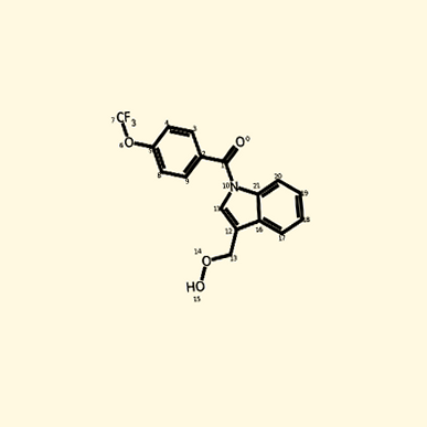 O=C(c1ccc(OC(F)(F)F)cc1)n1cc(COO)c2ccccc21